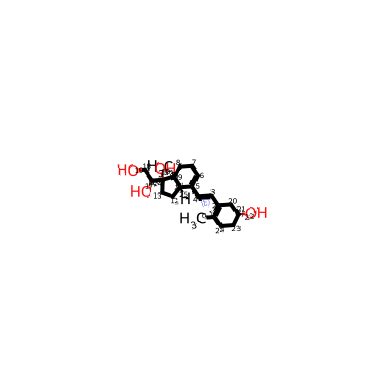 CC1=C(/C=C/C2=CCC[C@@]3(C)[C@H]2CC[C@]3(O)[C@H](O)CO)C[C@@H](O)CC1